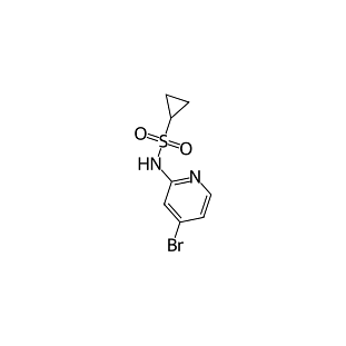 O=S(=O)(Nc1cc(Br)ccn1)C1CC1